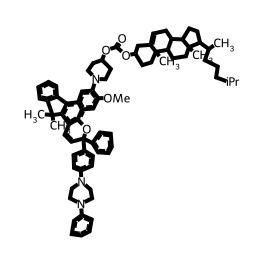 COc1cc2c3c(c4c(c2cc1N1CCC(OC(=O)OC2CCC5(C)C(=CCC6C5CCC5(C)C(C(C)CCCC(C)C)CCC65)C2)CC1)-c1ccccc1C4(C)C)C=CC(c1ccccc1)(c1ccc(N2CCN(c4ccccc4)CC2)cc1)O3